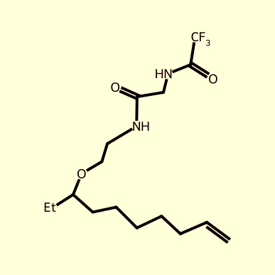 C=CCCCCCC(CC)OCCNC(=O)CNC(=O)C(F)(F)F